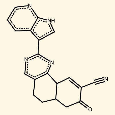 N#CC1=CC2c3nc(-c4c[nH]c5ncccc45)ncc3CCC2CC1=O